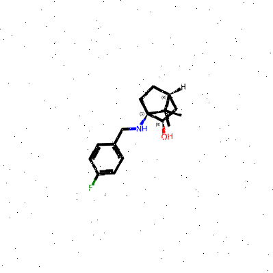 CC1(C)[C@@H]2CC[C@@]1(NCc1ccc(F)cc1)[C@H](O)C2